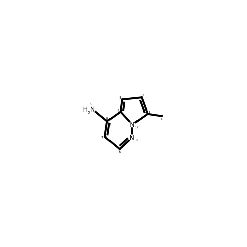 Cc1ccc2c(N)ccnn12